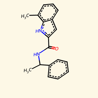 Cc1cccc2cc(C(=O)NC(C)c3ccccc3)[nH]c12